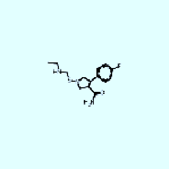 CCNCSN1CC(C(N)=O)C(c2ccc(F)cc2)C1